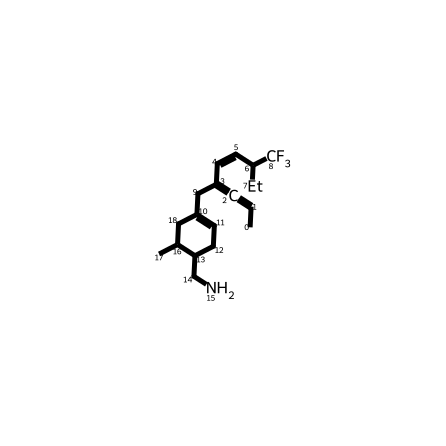 CC=C=C(/C=C\C(CC)C(F)(F)F)CC1=CCC(CN)C(C)C1